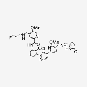 COc1cnc(C(=O)Nc2cccc(-c3nccc(-c4ccc(CNC[C@@H]5CCC(=O)N5)c(OC)n4)c3Cl)c2Cl)cc1CNCCCF